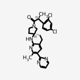 Cc1nc2c(cc1-c1ncccn1)CC[C@@]1(CCN(C(=O)[C@@H](C)c3ccc(Cl)cc3Cl)C1)N2